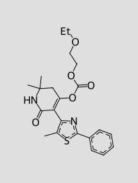 CCOCCOC(=O)OC1=C(c2nc(-c3ccccc3)sc2C)C(=O)NC(C)(C)C1